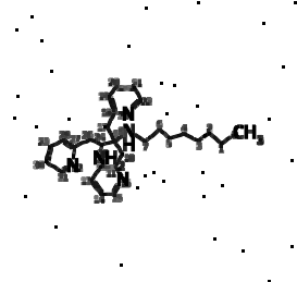 CCCCCCCCNC(Cc1ccccn1)(Cc1ccccn1)C(N)Cc1ccccn1